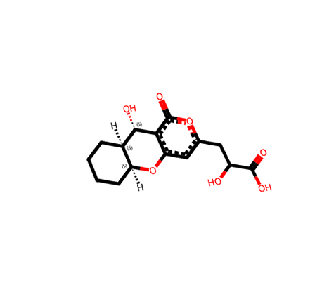 O=C(O)C(O)Cc1cc2c(c(=O)o1)[C@@H](O)[C@@H]1CCCC[C@@H]1O2